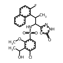 COc1c(S(=O)(=O)NC(c2n[nH]c(=O)o2)C(C)c2c(F)ccc3ccccc23)ccc(Cl)c1C(C)O